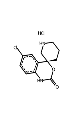 Cl.O=C1Nc2ccc(Cl)cc2[C@@]2(CCCNC2)O1